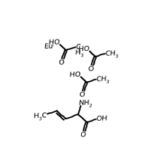 CC(=O)O.CC(=O)O.CC(=O)O.CC=CC(N)C(=O)O.[Eu]